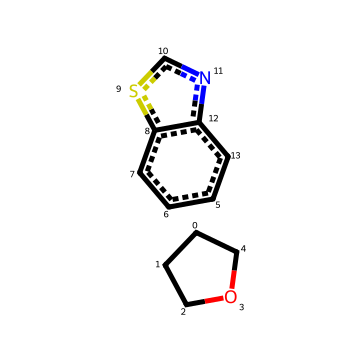 C1CCOC1.c1ccc2scnc2c1